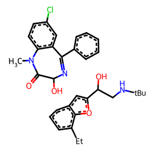 CCc1cccc2cc(C(O)CNC(C)(C)C)oc12.CN1C(=O)C(O)N=C(c2ccccc2)c2cc(Cl)ccc21